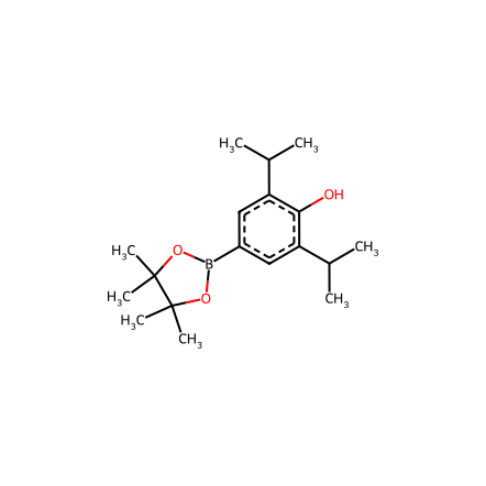 CC(C)c1cc(B2OC(C)(C)C(C)(C)O2)cc(C(C)C)c1O